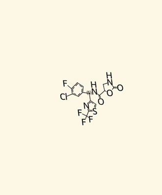 O=C1NCC(C(=O)N[C@@H](c2ccc(F)c(Cl)c2)c2csc(C(F)(F)F)n2)O1